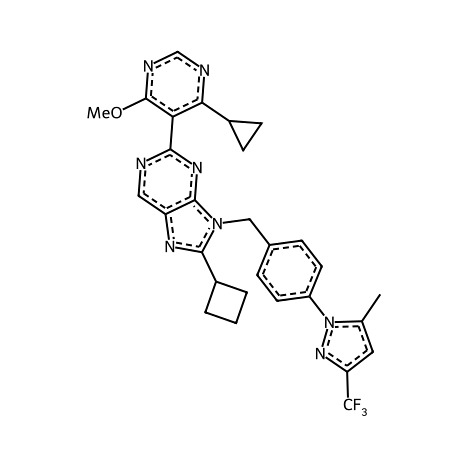 COc1ncnc(C2CC2)c1-c1ncc2nc(C3CCC3)n(Cc3ccc(-n4nc(C(F)(F)F)cc4C)cc3)c2n1